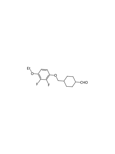 CCOc1ccc(OCC2CCC(C=O)CC2)c(F)c1F